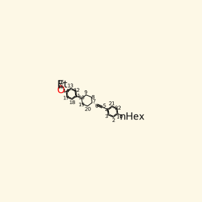 CCCCCCc1ccc(C#C[C@H]2CC[C@H](c3ccc(OCC)cc3)CC2)cc1